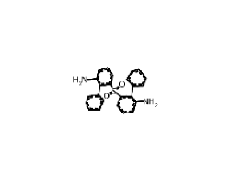 Nc1cccc(S(=O)(=O)c2cccc(N)c2-c2ccccc2)c1-c1ccccc1